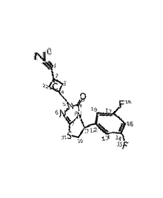 N#CC12CC(n3nc4n(c3=O)C(c3cc(F)cc(F)c3)CS4)(C1)C2